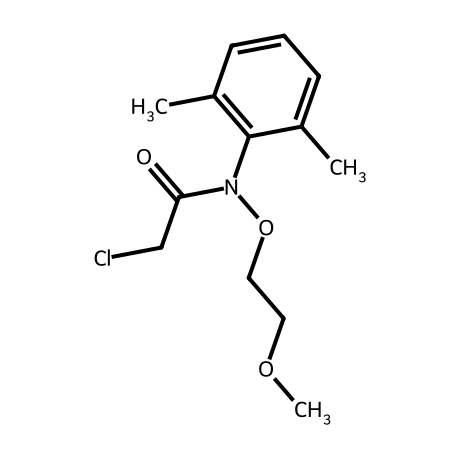 COCCON(C(=O)CCl)c1c(C)cccc1C